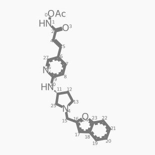 CC(=O)ONC(=O)/C=C/c1ccc(N[C@@H]2CCN(Cc3cc4ccccc4o3)C2)nc1